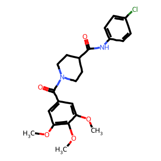 COc1cc(C(=O)N2CCC(C(=O)Nc3ccc(Cl)cc3)CC2)cc(OC)c1OC